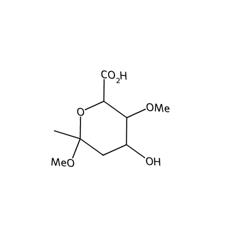 COC1C(O)CC(C)(OC)OC1C(=O)O